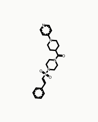 O=C(C1CCN(c2ccncc2)CC1)N1CCN(S(=O)(=O)/C=C/c2ccccc2)CC1